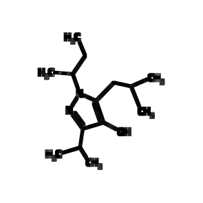 CCC(C)n1nc(C(C)C)c(O)c1CC(C)C